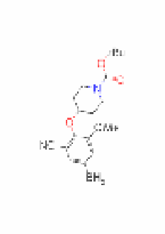 Bc1cc(C#N)c(OC2CCN(C(=O)OC(C)(C)C)CC2)c(OC)c1